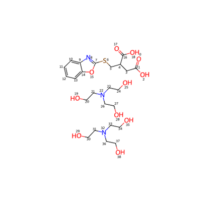 O=C(O)CC(CSc1nc2ccccc2o1)C(=O)O.OCCN(CCO)CCO.OCCN(CCO)CCO